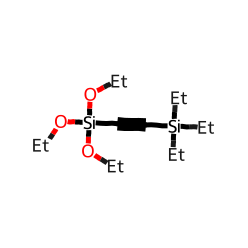 CCO[Si](C#C[Si](CC)(CC)CC)(OCC)OCC